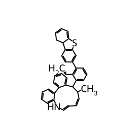 C=Cc1c(-c2ccc3c(c2)SC2=CC=CCC23)cccc1C1c2ccccc2-c2ccccc2N/C=C/C=C\C1C